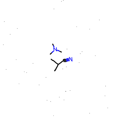 CC(C)C#N.CN(C)C